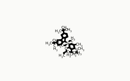 C=CCOc1c([Si](CC)(CC)C2c3ccc(C(C)(C)C)cc3-c3cc(C(C)(C)C)ccc32)cc(C)c([SiH](C)C)c1C(C)(C)C